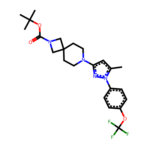 Cc1cc(N2CCC3(CC2)CN(C(=O)OC(C)(C)C)C3)nn1-c1ccc(OC(F)(F)F)cc1